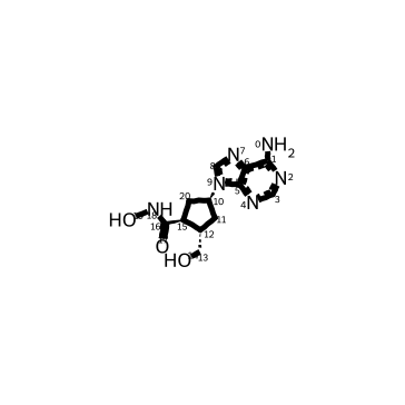 Nc1ncnc2c1ncn2[C@@H]1C[C@H](CO)[C@@H](C(=O)NO)C1